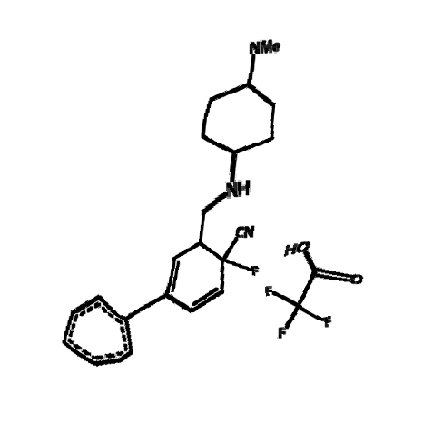 CNC1CCC(NCC2C=C(c3ccccc3)C=CC2(F)C#N)CC1.O=C(O)C(F)(F)F